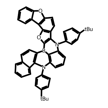 CC(C)(C)c1ccc(N2c3cccc4c3B(c3ccc5ccccc5c32)c2oc3c(ccc5oc6ccccc6c53)c2N4c2ccc(C(C)(C)C)cc2)cc1